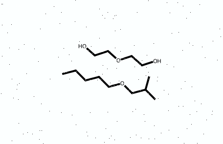 CCCCCOCC(C)C.OCCOCCO